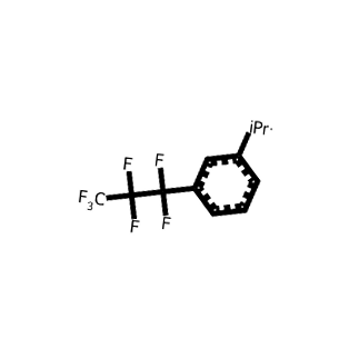 C[C](C)c1cccc(C(F)(F)C(F)(F)C(F)(F)F)c1